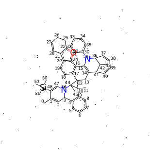 CC1=CC2c3ccccc3C3(C)C4(CC5=C(c6c4ccc4c7c(oc64)CCC=C7)N(c4ccccc4)C4C=CC=CC5C4C)C3(C)N2C=C1[Si](C)(C)C